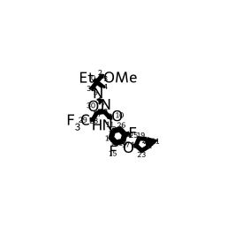 CCC1(COC)CN(c2nc(C(=O)Nc3cc(F)c(OC4CC5CC5C4)c(F)c3)c(CC(F)(F)F)o2)C1